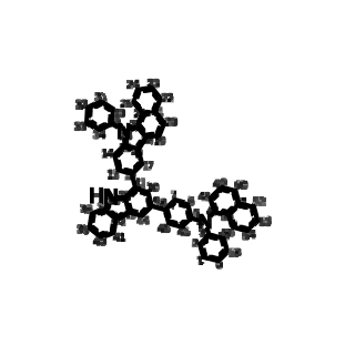 c1ccc(N(c2ccc(-c3cc(-c4ccc5c(c4)c4ccc6ccccc6c4n5-c4ccccc4)c4[nH]c5ccccc5c4c3)cc2)c2cccc3ccccc23)cc1